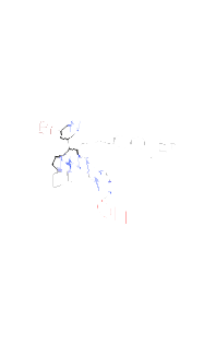 CCOC(=O)CCCCc1c(CN2CCN(CCO)CC2)nn2c(CC)ccc2c1-c1cncc(Br)c1